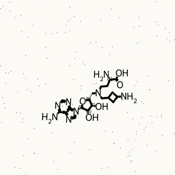 Nc1ncnc2c1ncn2[C@@H]1O[C@H](CN(CC[C@H](N)C(=O)O)CC2CC(N)C2)[C@@H](O)[C@H]1O